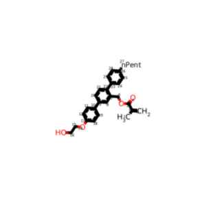 C=C(C)C(=O)OCc1cc(-c2ccc(OCCO)cc2)ccc1-c1ccc(CCCCC)cc1